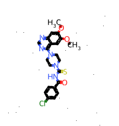 COc1cc2ncnc(N3CCN(C(=S)NC(=O)c4ccc(Cl)cc4)CC3)c2cc1OC